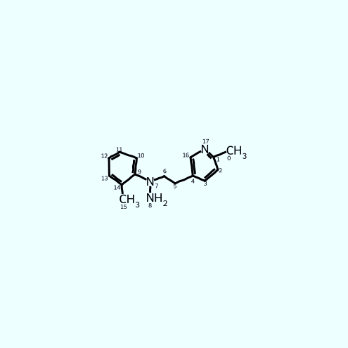 Cc1ccc(CCN(N)c2ccccc2C)cn1